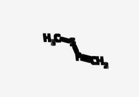 C=PSC